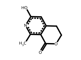 Cc1nc(O)cc2c1C(=O)OCC2